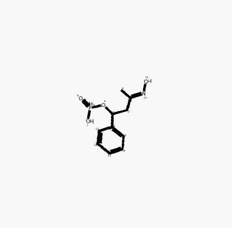 CC(CC(O[PH](=O)O)c1ccccc1)=NO